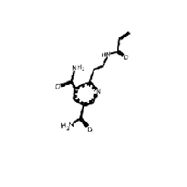 C=CC(=O)NCCc1ncc(C(N)=O)cc1C(N)=O